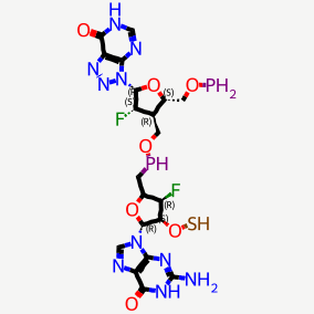 Nc1nc2c(ncn2[C@@H]2OC(CPOC[C@H]3[C@H](F)[C@H](n4nnc5c(=O)[nH]cnc54)O[C@@H]3COP)[C@@H](F)[C@H]2OS)c(=O)[nH]1